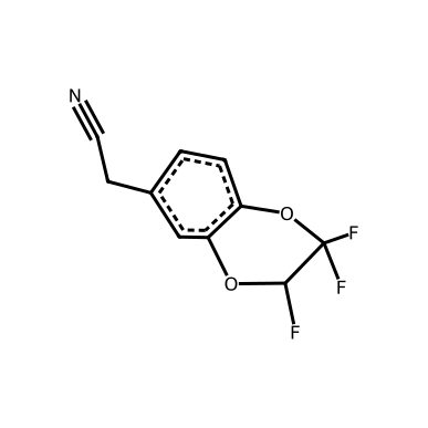 N#CCc1ccc2c(c1)OC(F)C(F)(F)O2